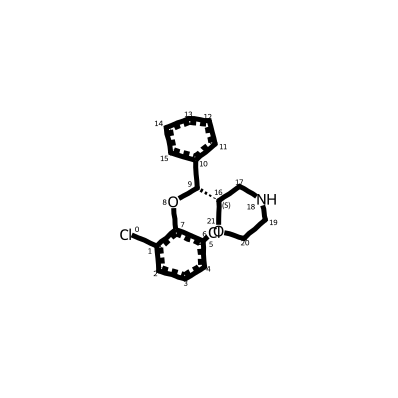 Clc1cccc(Cl)c1OC(c1ccccc1)[C@@H]1CNCCO1